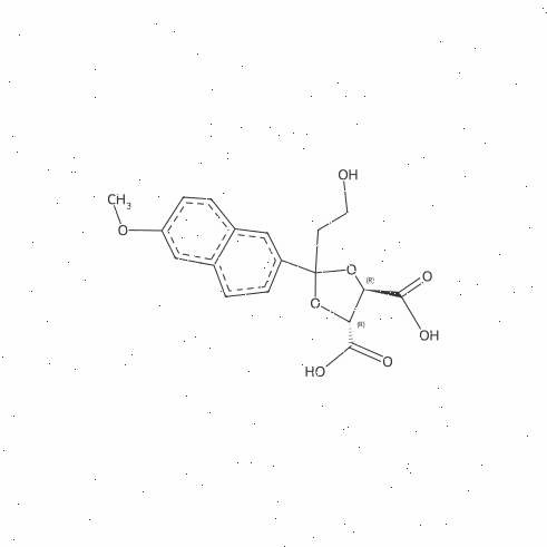 COc1ccc2cc(C3(CCO)O[C@@H](C(=O)O)[C@H](C(=O)O)O3)ccc2c1